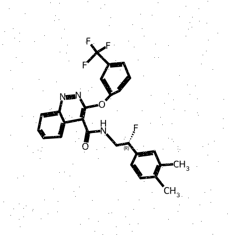 Cc1ccc([C@@H](F)CNC(=O)c2c(Oc3cccc(C(F)(F)F)c3)nnc3ccccc23)cc1C